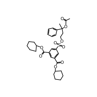 CC(=O)OC(C)(CCOS(=O)(=O)c1cc(C(=O)OC2CCCCC2)cc(C(=O)OC2CCCCC2)c1)c1ccccc1